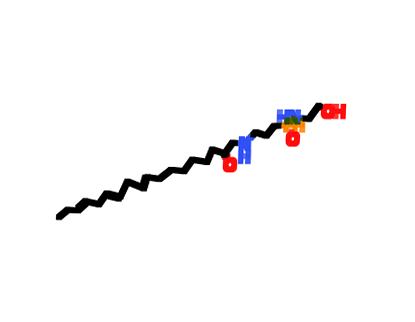 CCC=CCC=CCC=CCCCCCCC(=O)CNCCC[PH](=O)NCCO